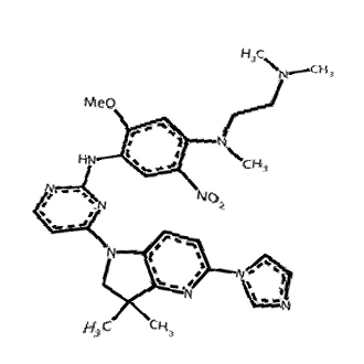 COc1cc(N(C)CCN(C)C)c([N+](=O)[O-])cc1Nc1nccc(N2CC(C)(C)c3nc(-n4ccnc4)ccc32)n1